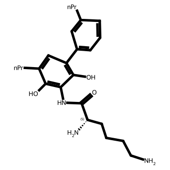 CCCc1cccc(-c2cc(CCC)c(O)c(NC(=O)[C@@H](N)CCCCN)c2O)c1